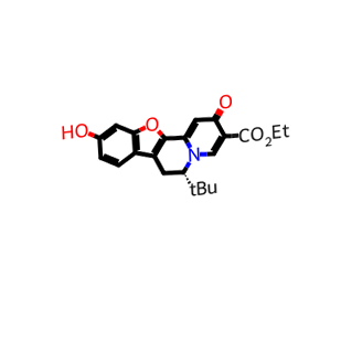 CCOC(=O)c1cn2c(cc1=O)-c1oc3cc(O)ccc3c1C[C@H]2C(C)(C)C